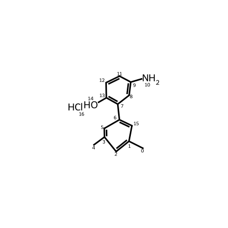 Cc1cc(C)cc(-c2cc(N)ccc2O)c1.Cl